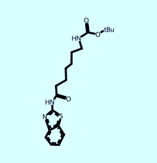 CC(C)(C)OC(=O)NCCCCCCC(=O)Nc1nc2ccccc2s1